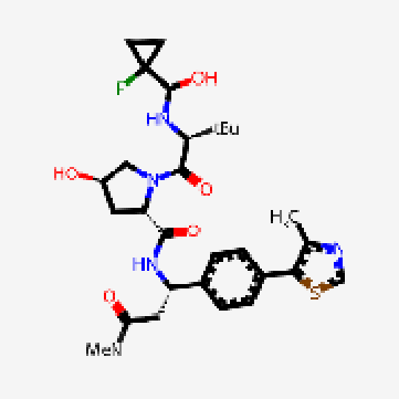 CNC(=O)C[C@H](NC(=O)[C@@H]1C[C@@H](O)CN1C(=O)[C@@H](NC(O)C1(F)CC1)C(C)(C)C)c1ccc(-c2scnc2C)cc1